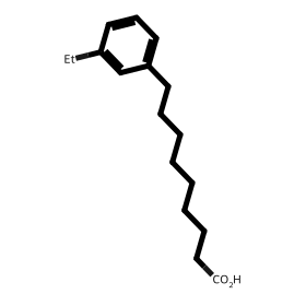 CCc1cccc(CCCCCCCCC(=O)O)c1